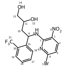 O=[N+]([O-])c1ccc(Br)nc1NC(CC(O)CO)c1ccccc1C(F)(F)F